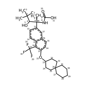 CC(C)(C)C(O)[C@](C)(NC(=O)O)c1ccc2c(C(F)(F)F)c(OC3CCC4(CCCCC4)CC3)ccc2c1